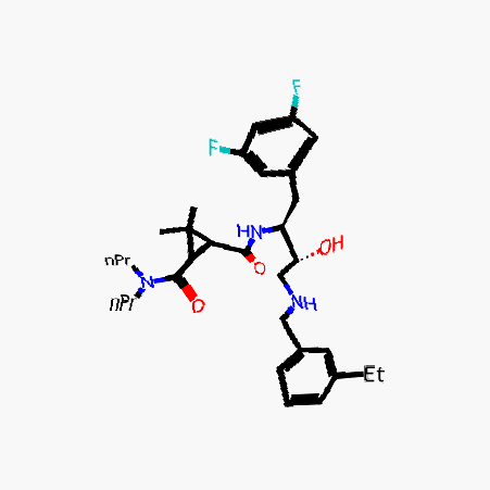 CCCN(CCC)C(=O)C1C(C(=O)N[C@@H](Cc2cc(F)cc(F)c2)[C@H](O)CNCc2cccc(CC)c2)C1(C)C